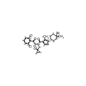 Cc1c(C(=O)N(CC(=O)c2c(Cl)cccc2Cl)CC2(C)CC2)cnn1[C@H]1CC[C@](C)(C(C)=O)CC1